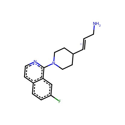 NC/C=C/C1CCN(c2nccc3ccc(F)cc23)CC1